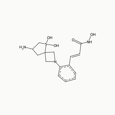 NC1CC2(CN(c3ccccc3C=CC(=O)NO)C2)S(O)(O)C1